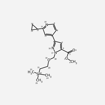 COC(=O)c1cc(-c2ccnc(C3CC3)c2)nn1COCC[Si](C)(C)C